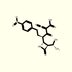 C[C@@H](O)[C@H]1C(=O)N[C@@H]1[C@@H](CCc1ccc([N+](=O)[O-])cc1)C(=O)C(=[N+]=[N-])C(=O)O